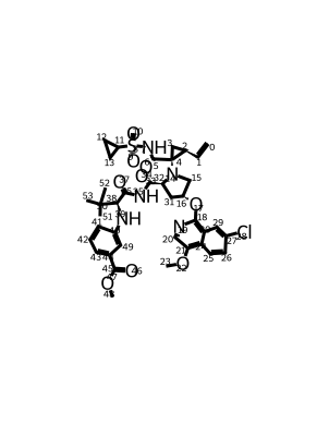 C=C[C@@H]1C[C@@]1(C(=O)NS(=O)(=O)C1CC1)N1C[C@H](Oc2ncc(OC)c3ccc(Cl)cc23)C[C@H]1C(=O)NC(=O)[C@@H](Nc1cccc(C(=O)OC)c1)C(C)(C)C